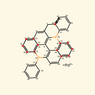 C=CCc1cc2ccccc2c(-c2c(P(c3ccccc3)c3ccccc3)ccc3ccccc23)c1P(c1ccccc1)c1ccccc1.[Pd+2]